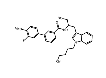 COc1ccc(-c2cccc(C(=O)N[C@@H](CO)CC3=CN(CCCCC#N)C4C=CC=CC34)c2)cc1F